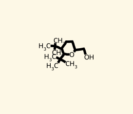 CC(C)(C)C1CCC(CO)OC1C(C)(C)C